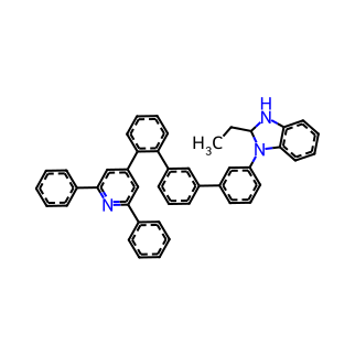 CCC1Nc2ccccc2N1c1cccc(-c2cccc(-c3ccccc3-c3cc(-c4ccccc4)nc(-c4ccccc4)c3)c2)c1